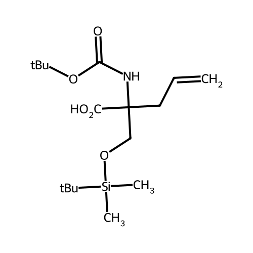 C=CCC(CO[Si](C)(C)C(C)(C)C)(NC(=O)OC(C)(C)C)C(=O)O